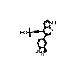 Cn1ncc2cc(-c3cnc4[nH]ccc4c3C#CC(C)(C)O)ccc21